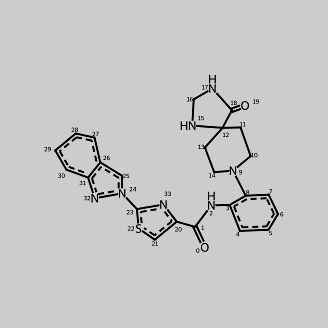 O=C(Nc1ccccc1N1CCC2(CC1)NCNC2=O)c1csc(-n2cc3ccccc3n2)n1